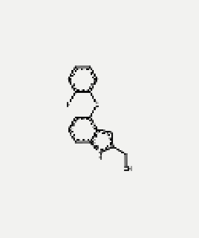 OCc1cc2c(Oc3ccccc3F)cccc2[nH]1